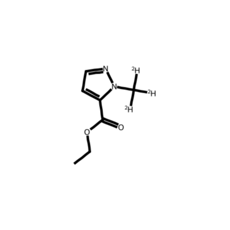 [2H]C([2H])([2H])n1nccc1C(=O)OCC